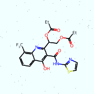 CCC(=O)OCC(OC(=O)CC)c1nc2c(C(F)(F)F)cccc2c(O)c1C(=O)Nc1nccs1